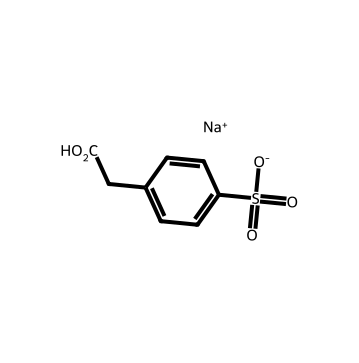 O=C(O)Cc1ccc(S(=O)(=O)[O-])cc1.[Na+]